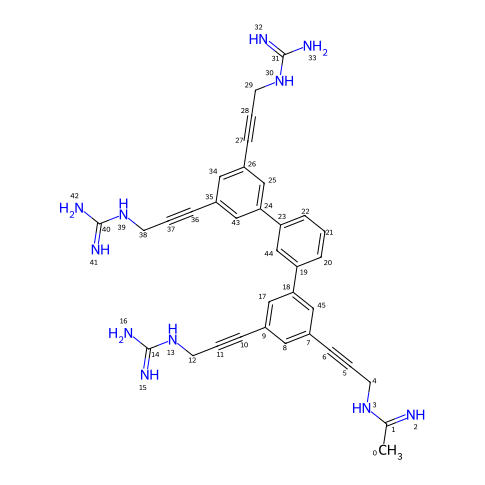 CC(=N)NCC#Cc1cc(C#CCNC(=N)N)cc(-c2cccc(-c3cc(C#CCNC(=N)N)cc(C#CCNC(=N)N)c3)c2)c1